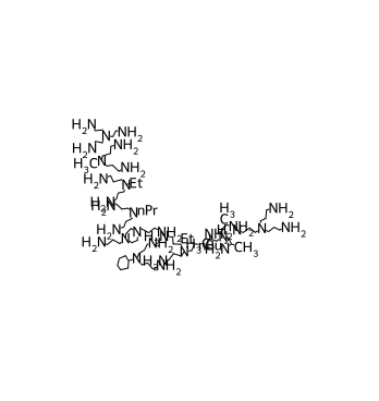 CC(N)CN(CC(C)N)CC(C)N.CCCCC(CC)CN(CCCN)CCCN.CCCN(CCCN)CCCN.CCN(CCCN)CCCN.CN(CCCN)CCCN.NCCCN(CCCN)C1CCCCC1.NCCCN(CCCN)CCCN.NCCCN1CCN(CCCN)CC1.NCCN(CCN)CCN